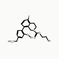 CCOc1cc(CC(=O)O)ccc1-c1ccc(F)c2c1CN(C(=O)OCCC(C)C)CC2